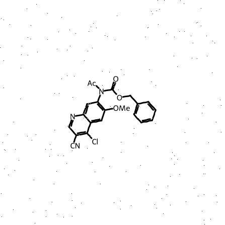 COc1cc2c(Cl)c(C#N)cnc2cc1N(C(C)=O)C(=O)OCc1ccccc1